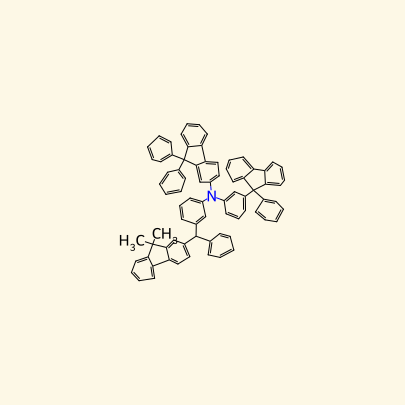 CC1(C)c2ccccc2-c2ccc(C(c3ccccc3)c3cccc(N(c4cccc(C5(c6ccccc6)c6ccccc6-c6ccccc65)c4)c4ccc5c(c4)C(c4ccccc4)(c4ccccc4)c4ccccc4-5)c3)cc21